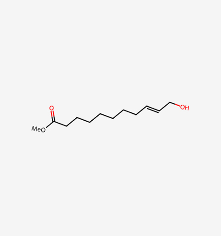 COC(=O)CCCCCCCC=CCO